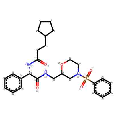 O=C(CCC1CCCC1)N[C@H](C(=O)NCC1CN(S(=O)(=O)c2ccccc2)CCO1)c1ccccc1